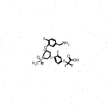 CS(=O)(=O)N1C[C@@H](Oc2cc(CN)ccc2F)C[C@H](c2ccccc2F)C1.O=C(O)C(F)(F)F